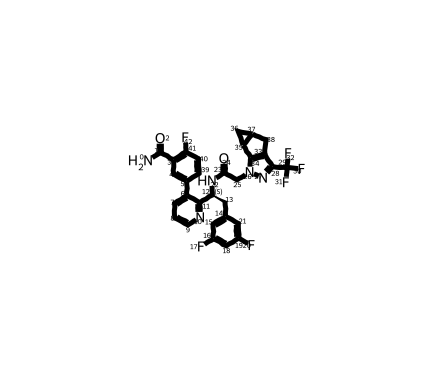 NC(=O)c1cc(-c2cccnc2[C@H](Cc2cc(F)cc(F)c2)NC(=O)Cn2nc(C(F)(F)F)c3c2C2CC2C3)ccc1F